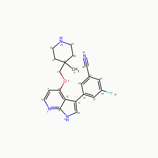 CC1(COc2ccnc3[nH]cc(-c4cc(F)cc(C#N)c4)c23)CCNCC1